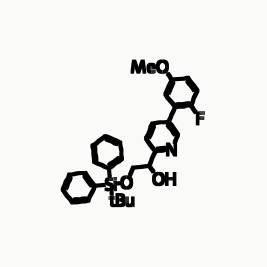 COc1ccc(F)c(-c2ccc(C(O)CO[Si](c3ccccc3)(c3ccccc3)C(C)(C)C)nc2)c1